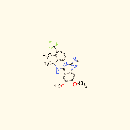 COc1cc2c(NC(C)c3cccc(C(F)(F)F)c3C)nc3nccn3c2cc1OC